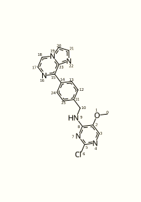 COc1cnc(Cl)nc1NCc1ccc(-c2nccn3ccnc23)cc1